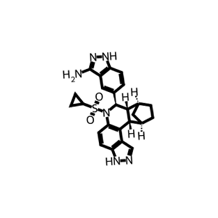 Nc1n[nH]c2ccc([C@H]3[C@@H]4[C@H]5CC[C@H](C5)[C@@H]4c4c(ccc5[nH]ncc45)N3S(=O)(=O)C3CC3)cc12